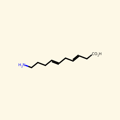 NCCCC=CCC=CCC(=O)O